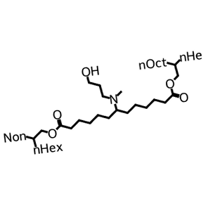 CCCCCCCCCC(CCCCCC)COC(=O)CCCCCC(CCCCCC(=O)OCC(CCCCCC)CCCCCCCC)N(C)CCCO